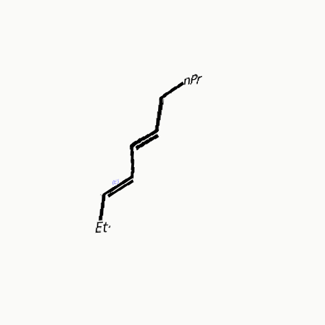 [CH2][CH]/[C]=C/C=CCC[CH][CH2]